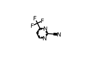 N#Cc1nccc(C(F)(F)F)n1